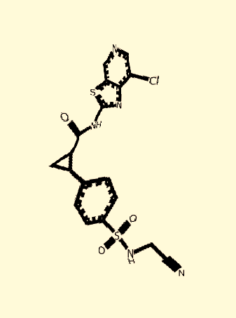 N#CCNS(=O)(=O)c1ccc(C2CC2C(=O)Nc2nc3c(Cl)cncc3s2)cc1